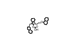 O=C(O)Oc1c(Cc2ccc3ccccc3c2)c2ccccc2n1CCCOc1cccc2ccccc12